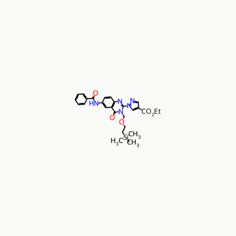 CCOC(=O)c1cnn(-c2nc3ccc(NC(=O)c4ccccc4)cc3c(=O)n2COCC[Si](C)(C)C)c1